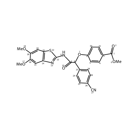 COC(=O)c1ccc(OC(C(=O)Nc2nc3cc(OC)c(OC)cc3s2)c2ccc(C#N)cc2)cc1